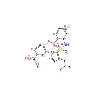 CC(C)Cc1ccoc1S(=O)(=O)Nc1cc(Cl)ccc1OCc1ccc(C(=O)O)cc1